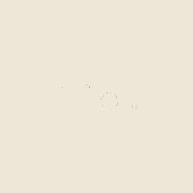 CC(C)(C)CC(C)(C)NCc1ccc(O)cc1O